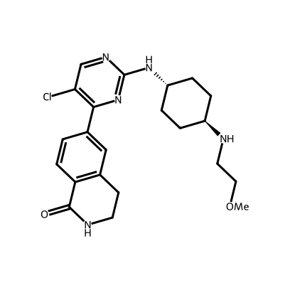 COCCN[C@H]1CC[C@H](Nc2ncc(Cl)c(-c3ccc4c(c3)CCNC4=O)n2)CC1